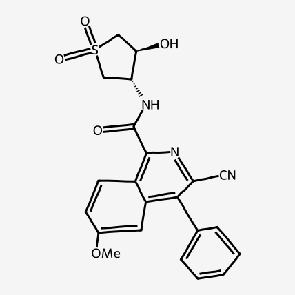 COc1ccc2c(C(=O)N[C@@H]3CS(=O)(=O)C[C@H]3O)nc(C#N)c(-c3ccccc3)c2c1